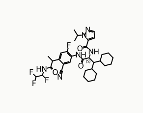 CC(C(=O)NC(F)C(F)F)c1cc(F)c(NC(=O)[C@@H](NC(=O)c2ccnn2C(C)C)C(C2CCCCC2)C2CCCCC2)cc1C#N